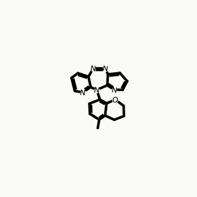 Cc1ccc(N2c3ncccc3N=Nc3cccnc32)c2c1CCCO2